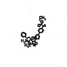 CCOC(=O)C1(c2ccc(-c3ccc(-c4onc(C)c4C(O)(CCc4ccccc4)C(N)=O)cc3)cc2)CC1